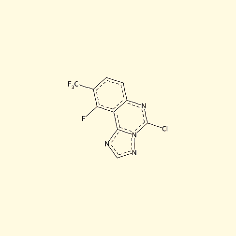 Fc1c(C(F)(F)F)ccc2nc(Cl)n3ncnc3c12